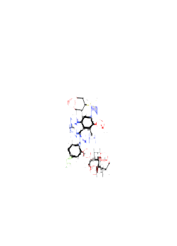 COc1c(/N=S(/C)C2CCOCC2)cc2ncnc(Nc3ccc(F)cc3OC3CO[C@@H]4CCO[C@H]34)c2c1C